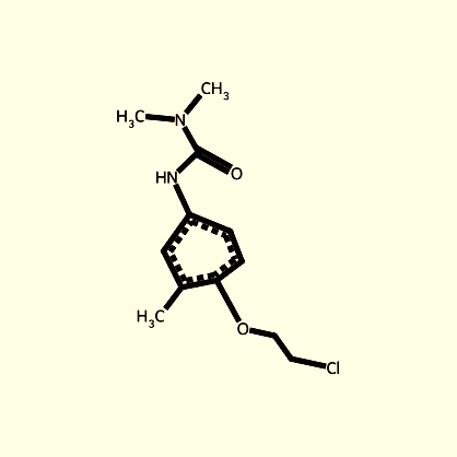 Cc1cc(NC(=O)N(C)C)ccc1OCCCl